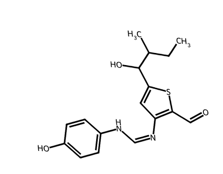 CCC(C)C(O)c1cc(/N=C\Nc2ccc(O)cc2)c(C=O)s1